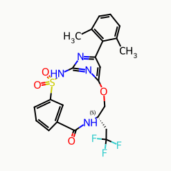 Cc1cccc(C)c1-c1cc2nc(n1)NS(=O)(=O)c1cccc(c1)C(=O)N[C@@H](CC(F)(F)F)CO2